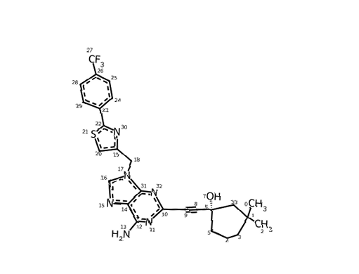 CC1(C)CCC[C@@](O)(C#Cc2nc(N)c3ncn(Cc4csc(-c5ccc(C(F)(F)F)cc5)n4)c3n2)C1